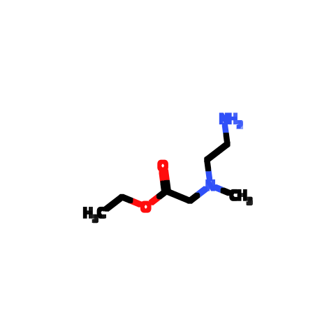 CCOC(=O)CN(C)CCN